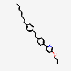 CCCCCCCc1ccc(CCc2ccc(-c3ccc(OCCC)cn3)cc2)cc1